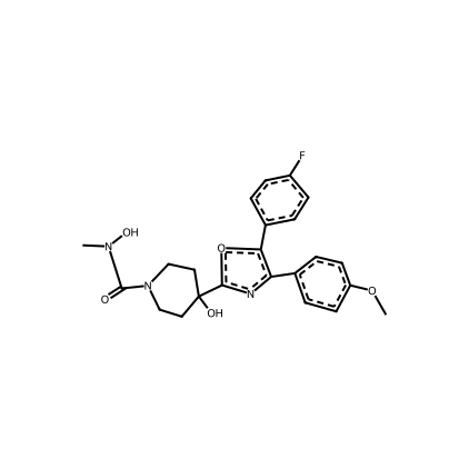 COc1ccc(-c2nc(C3(O)CCN(C(=O)N(C)O)CC3)oc2-c2ccc(F)cc2)cc1